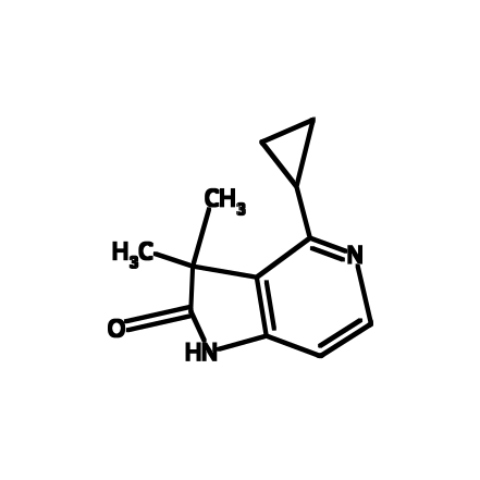 CC1(C)C(=O)Nc2ccnc(C3CC3)c21